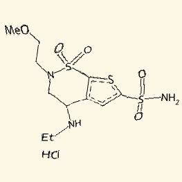 CCNC1CN(CCOC)S(=O)(=O)c2sc(S(N)(=O)=O)cc21.Cl